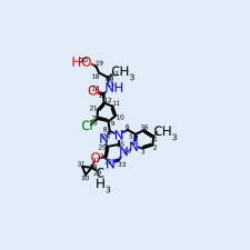 Cc1ccnc(Cn2c(-c3ccc(C(=O)N[C@H](C)CCO)cc3Cl)nc3c(OC4(C)CC4)ncnc32)c1